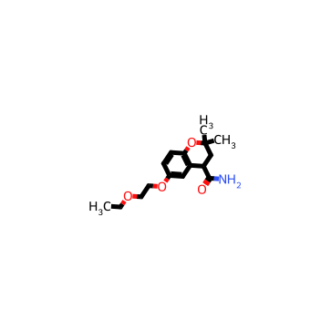 CCOCCOc1ccc2c(c1)C(C(N)=O)CC(C)(C)O2